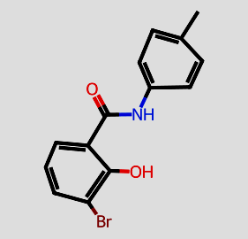 Cc1ccc(NC(=O)c2cccc(Br)c2O)cc1